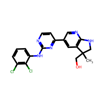 CC1(CO)CNc2ncc(-c3ccnc(Nc4cccc(Cl)c4Cl)n3)cc21